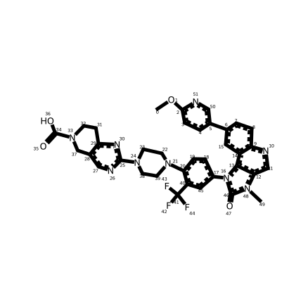 COc1ccc(-c2ccc3ncc4c(c3c2)n(-c2ccc(N3CCN(c5ncc6c(n5)CCN(C(=O)O)C6)CC3)c(C(F)(F)F)c2)c(=O)n4C)cn1